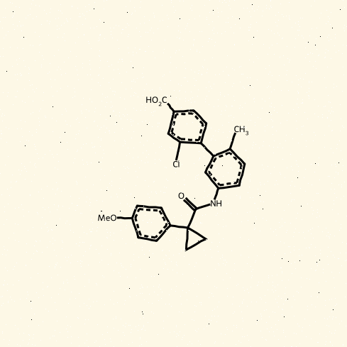 COc1ccc(C2(C(=O)Nc3ccc(C)c(-c4ccc(C(=O)O)cc4Cl)c3)CC2)cc1